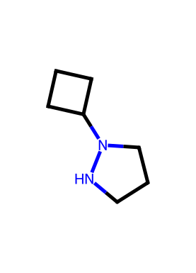 C1CC(N2CCCN2)C1